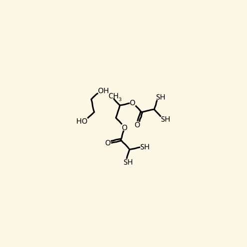 CC(COC(=O)C(S)S)OC(=O)C(S)S.OCCO